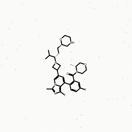 Cc1nc(F)c2c(-c3ccc(F)cc3C(=O)N3CCOC[C@H]3C)cc(C3CN([C@@H](CC[C@@H]4CNCCO4)C(C)C)C3)cn12